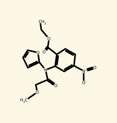 CCOC(=O)c1ccc([N+](=O)[O-])cc1N(C(=O)COC)c1ccco1